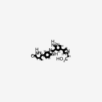 CC1CC(=O)NN=C1c1ccc2[nH]c(-c3cc(-c4cnn(CC(=O)O)c4)cnc3N)nc2c1